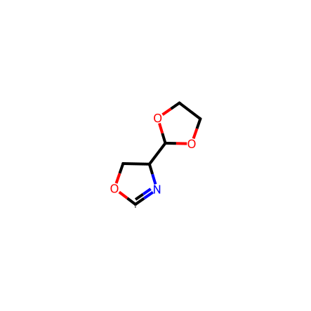 [C]1=NC(C2OCCO2)CO1